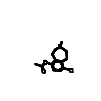 CC(=O)Oc1ccc(Cl)c2c1CCN(C)CC2